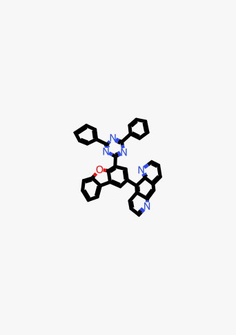 c1ccc(-c2nc(-c3ccccc3)nc(-c3cc(-c4c5cccnc5cc5cccnc45)cc4c3oc3ccccc34)n2)cc1